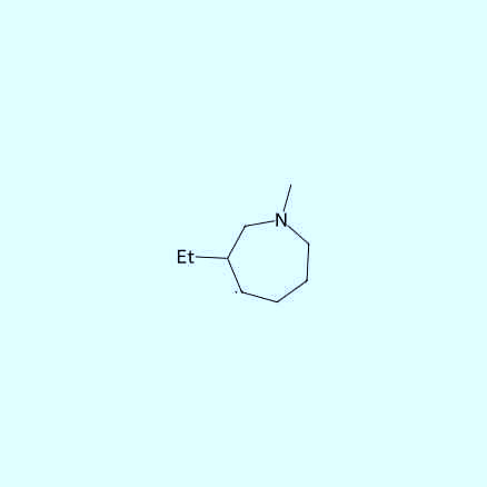 CCC1[CH]CCCN(C)C1